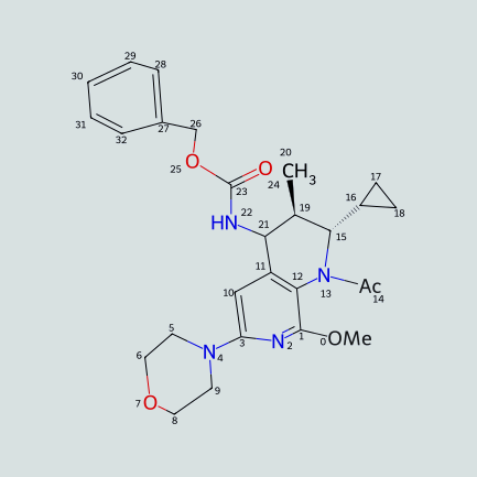 COc1nc(N2CCOCC2)cc2c1N(C(C)=O)[C@@H](C1CC1)[C@H](C)C2NC(=O)OCc1ccccc1